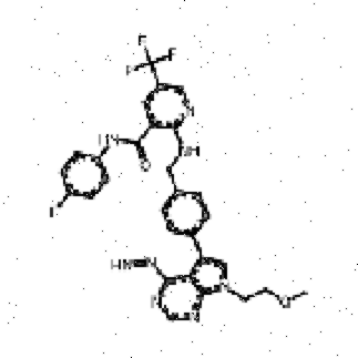 COCCn1cc(-c2ccc(CNc3ncc(C(F)(F)F)cc3C(=O)Nc3ccc(F)cc3)cc2)c2c(N=N)ncnc21